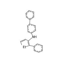 C/C=C\C(Nc1ccc(-c2ccccc2)cc1)=C(/CC)c1ccccc1